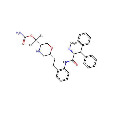 CCC(CC)(OC(N)=O)[C@@H]1CO[C@H](CCc2ccccc2NC(=O)[C@@H](NC(=O)O)C(c2ccccc2)c2ccccc2)CN1